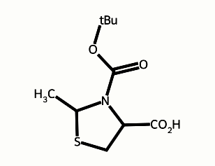 CC1SCC(C(=O)O)N1C(=O)OC(C)(C)C